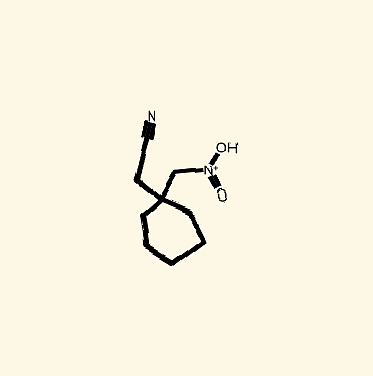 N#CCC1(C[N+](=O)O)CCCCC1